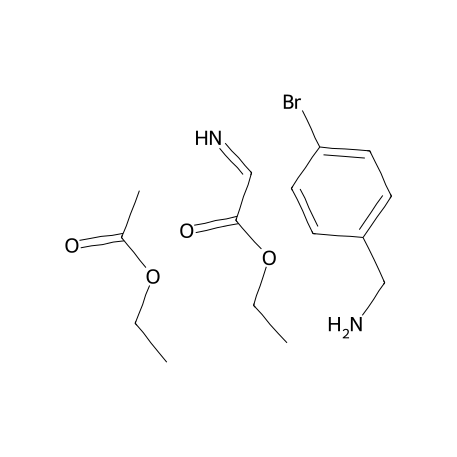 CCOC(=O)C=N.CCOC(C)=O.NCc1ccc(Br)cc1